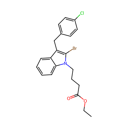 CCOC(=O)CCCn1c(Br)c(Cc2ccc(Cl)cc2)c2ccccc21